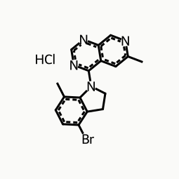 Cc1cc2c(N3CCc4c(Br)ccc(C)c43)ncnc2cn1.Cl